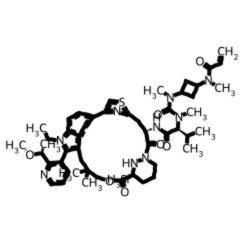 C=CC(=O)N(C)C1CC(N(C)C(=O)N(C)[C@H](C(=O)N[C@H]2Cc3nc(cs3)-c3ccc4c(c3)c(c(-c3cccnc3[C@H](C)OC)n4CC)CC(C)(C)COC(=O)[C@@]3([SiH3])CCCN(N3)C2=O)C(C)C)C1